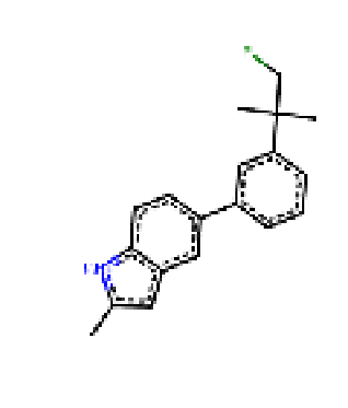 Cc1cc2cc(-c3cccc(C(C)(C)CF)c3)ccc2[nH]1